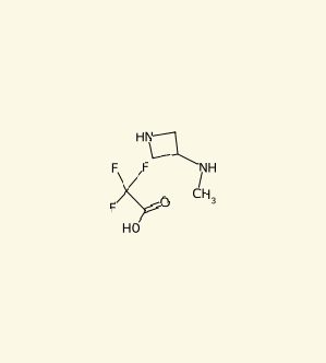 CNC1CNC1.O=C(O)C(F)(F)F